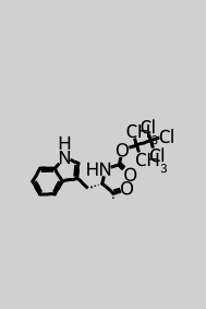 CC(C)(OC(=O)N[C@H]([C]=O)Cc1c[nH]c2ccccc12)C(Cl)(Cl)Cl